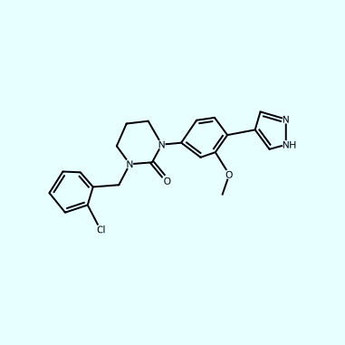 COc1cc(N2CCCN(Cc3ccccc3Cl)C2=O)ccc1-c1cn[nH]c1